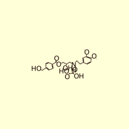 COc1ccc(CCNCC(O)COC(=O)c2ccc(CO)cc2)cc1OC.O=C(O)C(=O)O